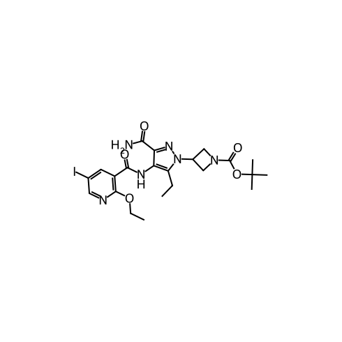 CCOc1ncc(I)cc1C(=O)Nc1c(C(N)=O)nn(C2CN(C(=O)OC(C)(C)C)C2)c1CC